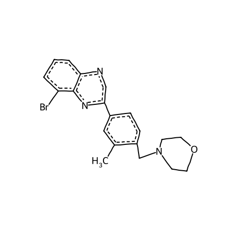 Cc1cc(-c2cnc3cccc(Br)c3n2)ccc1CN1CCOCC1